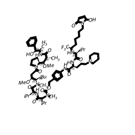 CC[C@H](C)[C@@H]([C@@H](CC(=O)N1CCC[C@H]1[C@H](OC)[C@@H](C)C(=O)N[C@H](C)[C@@H](O)c1ccccc1)OC)N(C)C(=O)[C@@H](NC(=O)[C@H](C(C)C)N(C)C(=O)OCc1ccc(NC(=O)[C@H](CCCN2CCCCC2)NC(=O)[C@@H](N[C@@H](CCCCCN2C(=O)C=CC2O)C(F)(F)F)C(C)C)cc1)C(C)C